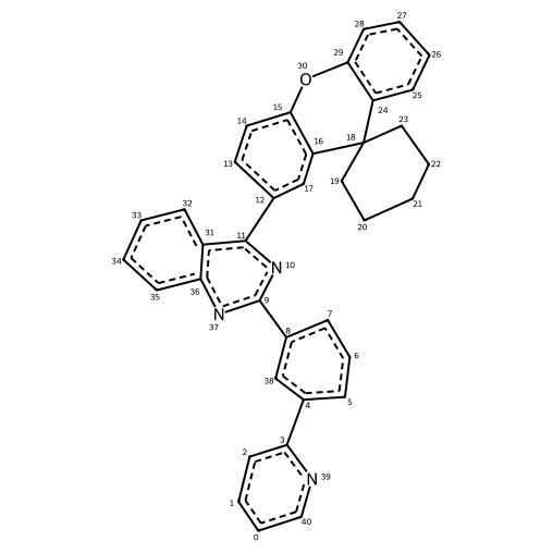 c1ccc(-c2cccc(-c3nc(-c4ccc5c(c4)C4(CCCCC4)c4ccccc4O5)c4ccccc4n3)c2)nc1